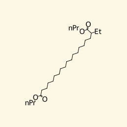 CCCOC(=O)CCCCCCCCCCCCCCCCC(CC)C(=O)OCCC